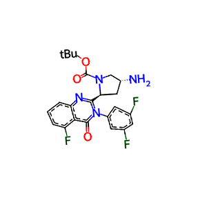 CC(C)(C)OC(=O)N1C[C@H](N)C[C@H]1c1nc2cccc(F)c2c(=O)n1-c1cc(F)cc(F)c1